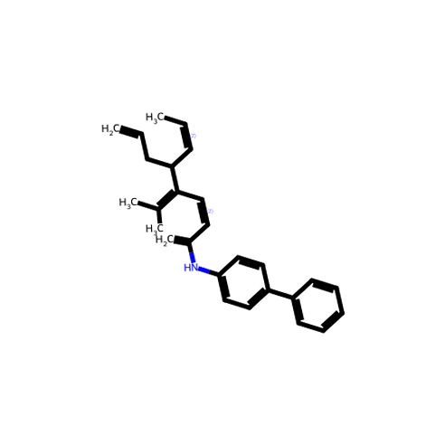 C=CCC(/C=C\C)C(/C=C\C(=C)Nc1ccc(-c2ccccc2)cc1)=C(C)C